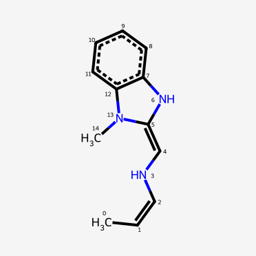 C/C=C\N/C=C1/Nc2ccccc2N1C